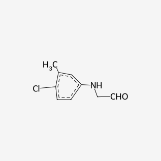 Cc1cc(NCC=O)ccc1Cl